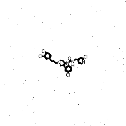 O=C(NCc1ccnc(Cl)c1)n1c2c(c3cc(Cl)ccc31)CN(C/C=C/c1ccc(Cl)c(Cl)c1)CC2